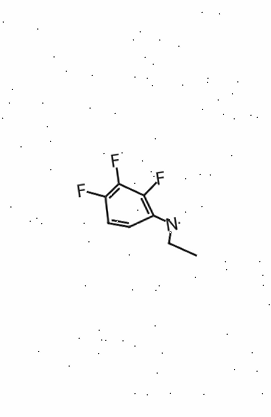 CC[N]c1ccc(F)c(F)c1F